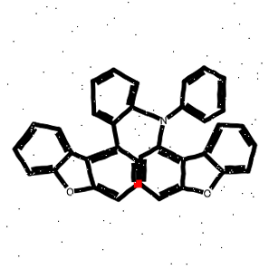 c1ccc(N(c2ccccc2-c2cccc3oc4ccccc4c23)c2cccc3oc4ccccc4c23)cc1